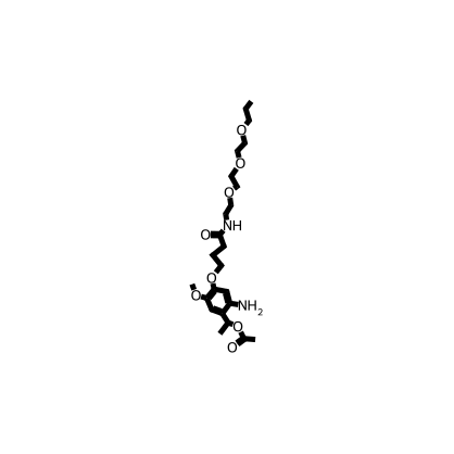 CCCOCCOCCOCCNC(=O)CCCOc1cc(N)c(C(C)OC(C)=O)cc1OC